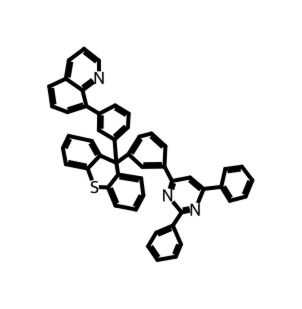 c1ccc(-c2cc(-c3cccc(C4(c5cccc(-c6cccc7cccnc67)c5)c5ccccc5Sc5ccccc54)c3)nc(-c3ccccc3)n2)cc1